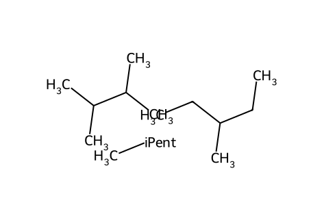 CC(C)C(C)C.CCC(C)CC.CCCC(C)C